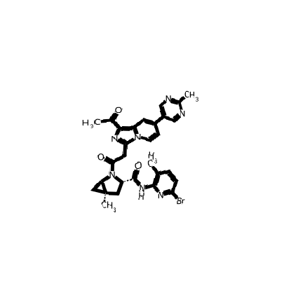 CC(=O)c1nc(CC(=O)N2C3C[C@]3(C)C[C@H]2C(=O)Nc2nc(Br)ccc2C)n2ccc(-c3cnc(C)nc3)cc12